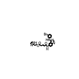 O=C(C=CCC(=O)OCCc1ncc[nH]1)Nc1ccc2ncnc(Nc3cccc(Br)c3)c2c1